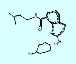 CN(C)CCNC(=O)c1cccc2cnc(N[C@H]3CC[C@H](O)CC3)nc12